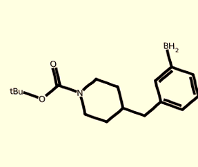 Bc1cccc(CC2CCN(C(=O)OC(C)(C)C)CC2)c1